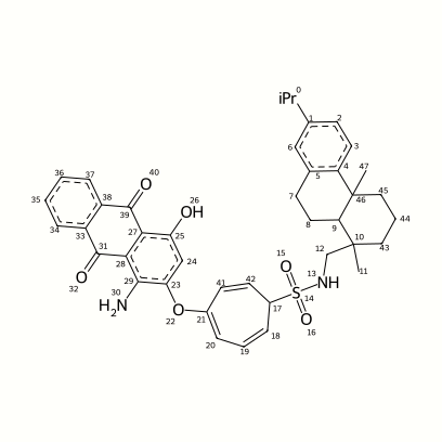 CC(C)c1ccc2c(c1)CCC1C(C)(CNS(=O)(=O)C3C=CC=C(Oc4cc(O)c5c(c4N)C(=O)c4ccccc4C5=O)C=C3)CCCC21C